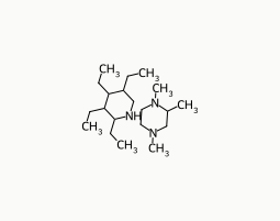 CC1CN(C)CCN1C.CCC1CNC(CC)C(CC)C1CC